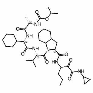 CCCC(NC(=O)[C@@H]1CC2CCCCC2N1C(=O)[C@@H](NC(=O)[C@@H](NC(=O)[C@H](C)NC(=O)OC(C)C)C1CCCCC1)C(C)C)C(=O)C(=O)NC1CC1